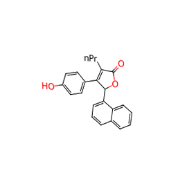 CCCC1=C(c2ccc(O)cc2)C(c2cccc3ccccc23)OC1=O